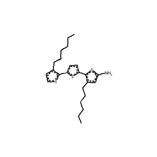 CCCCCCc1ccsc1-c1ccc(-c2sc(N)cc2CCCCCC)s1